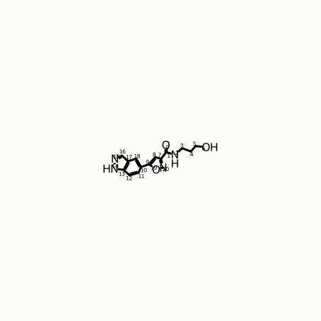 O=C(NCCCO)c1cc(-c2ccc3[nH]ncc3c2)on1